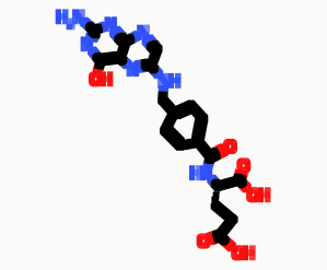 Nc1nc(O)c2nc(NCc3ccc(C(=O)N[C@@H](CCC(=O)O)C(=O)O)cc3)cnc2n1